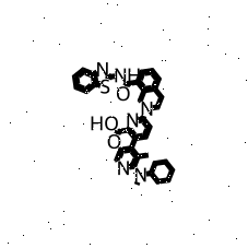 Cc1c(-c2ccc(N3CCc4cccc(C(=O)Nc5nc6ccccc6s5)c4C3)nc2C(=O)O)ccnc1N(C)C1CCCCC1